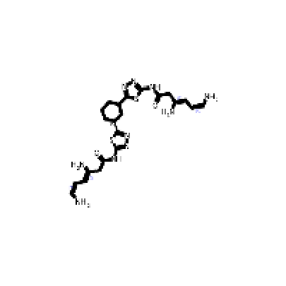 N/C=C\C=C(/N)CC(=O)Nc1nnc(C2CCC[C@H](c3nnc(NC(=O)C/C(N)=C/C=C\N)s3)C2)s1